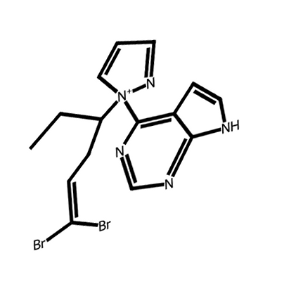 CCC(CC=C(Br)Br)[N+]1(c2ncnc3[nH]ccc23)C=CC=N1